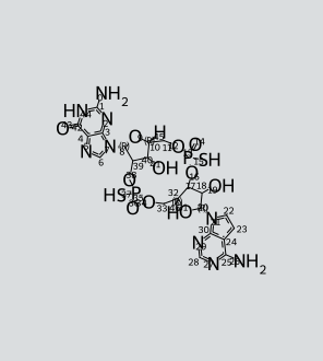 Nc1nc2c(ncn2[C@@H]2O[C@@H]3COP(=O)(S)OC4C(O)[C@H](n5ccc6c(N)ncnc65)O[C@@H]4COP(=O)(S)OC2C3O)c(=O)[nH]1